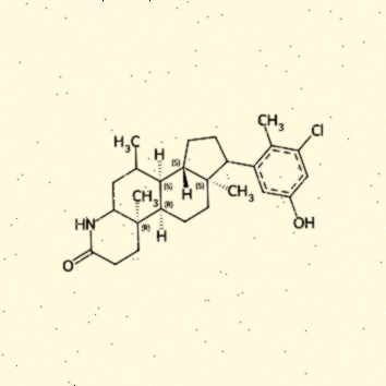 Cc1c(Cl)cc(O)cc1C1CC[C@H]2[C@@H]3C(C)CC4NC(=O)CC[C@]4(C)[C@@H]3CC[C@]12C